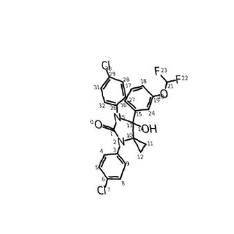 O=C1N(c2ccc(Cl)cc2)C2(CC2)C(O)(c2cccc(OC(F)F)c2)N1c1ccc(Cl)cc1